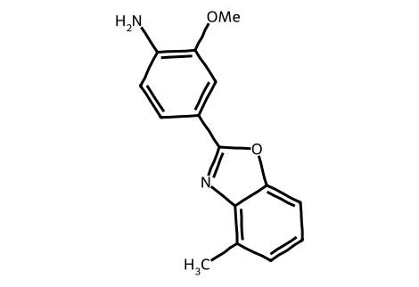 COc1cc(-c2nc3c(C)cccc3o2)ccc1N